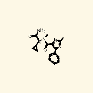 Cc1nc(C(=O)N(C)[C@@H](C(N)=O)C2CC2)c(-c2ccccc2)s1